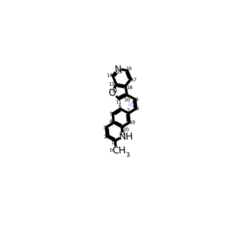 CC1=C=Cc2ccc(/C=C\c3coc4cnccc34)cc2N1